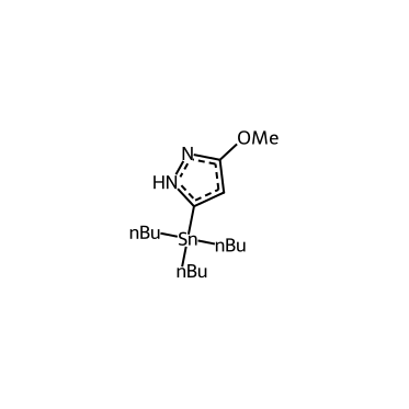 CCC[CH2][Sn]([CH2]CCC)([CH2]CCC)[c]1cc(OC)n[nH]1